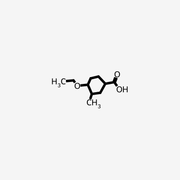 CCOC1CCC(C(=O)O)CC1C